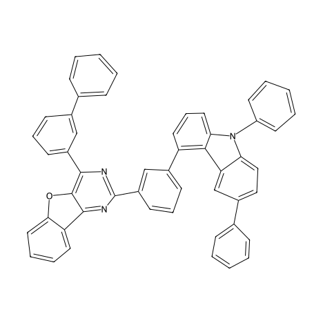 c1ccc(-c2cccc(-c3nc(-c4cccc(-c5cccc6c5c5cc(-c7ccccc7)ccc5n6-c5ccccc5)c4)nc4c3oc3ccccc34)c2)cc1